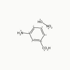 Nc1cccc(C(=O)O)c1.O=[N+]([O-])O